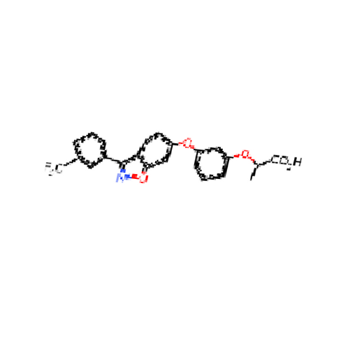 CC(Oc1cccc(Oc2ccc3c(-c4cccc(C(F)(F)F)c4)noc3c2)c1)C(=O)O